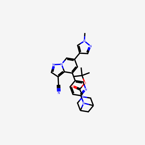 Cn1cc(-c2cc(-c3ccc(N4C5CC4CN(C(=O)OC(C)(C)C)C5)nc3)c3c(C#N)cnn3c2)cn1